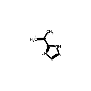 C=C(C)c1ncc[nH]1